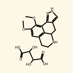 COc1cc2c3c(c1OC)-c1n[nH]cc1CC3NCC2.O=C(O)C(O)C(O)C(=O)O